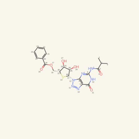 CC(C)C(=O)Nc1nc2c(nnn2[C@@H]2S[C@H](COC(=O)c3ccccc3)[C@@H](O)[C@H]2O)c(=O)[nH]1